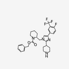 O=C(OCc1ccccc1)N1CCCCC1Cn1cc(-c2ccc(F)c(C(F)(F)F)c2)nc1C1CCNCC1